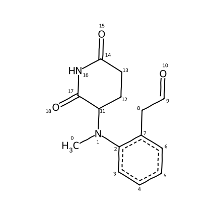 CN(c1ccccc1CC=O)C1CCC(=O)NC1=O